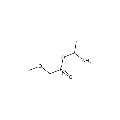 COC[PH](=O)OC(C)N